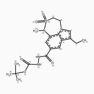 CCc1cn2c3c(cc(C(=O)NNC(=O)OC(C)(C)C)cc13)N(C)S(=O)(=O)CC2